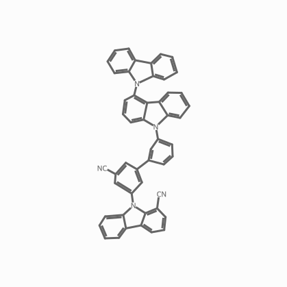 N#Cc1cc(-c2cccc(-n3c4ccccc4c4c(-n5c6ccccc6c6ccccc65)cccc43)c2)cc(-n2c3ccccc3c3cccc(C#N)c32)c1